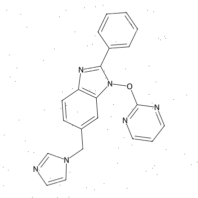 c1ccc(-c2nc3ccc(Cn4ccnc4)cc3n2Oc2ncccn2)cc1